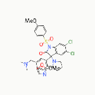 COc1ccc(S(=O)(=O)N2C(=O)C(c3cc(CN(C)C)ccc3OC)(N3CCCC3c3ncco3)c3cc(Cl)c(Cl)cc32)cc1